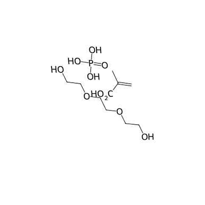 C=C(C)C(=O)O.O=P(O)(O)O.OCCOCCOCCO